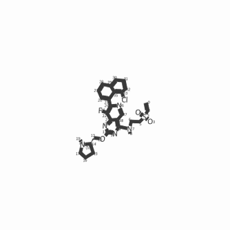 C=CS(=O)(=O)CCN(C)c1nc(OC[C@@H]2CCCN2C)nc2c(F)c(-c3cccc4cccc(Cl)c34)ncc12